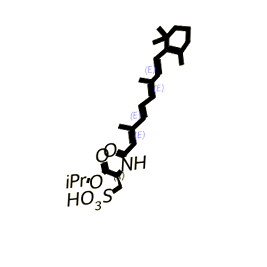 CC1=C(/C=C/C(C)=C/C=C/C(C)=C/C(=O)N[C@@H](CS(=O)(=O)O)C(=O)OC(C)C)C(C)(C)CCC1